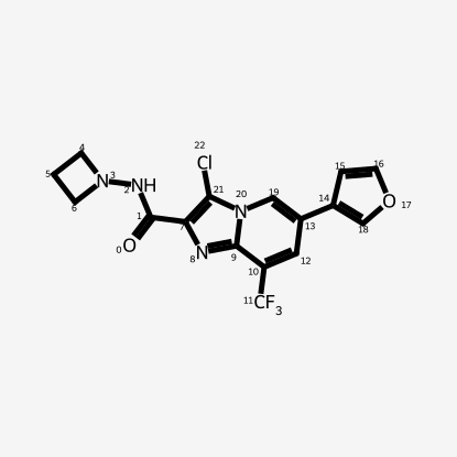 O=C(NN1CCC1)c1nc2c(C(F)(F)F)cc(-c3ccoc3)cn2c1Cl